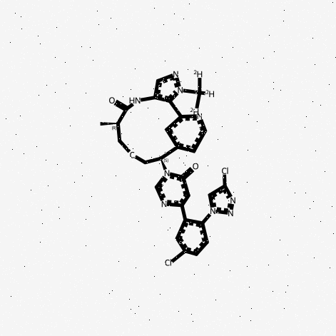 [2H]C([2H])([2H])n1ncc2c1-c1cc(ccn1)[C@@H](n1cnc(-c3cc(Cl)ccc3-n3cc(Cl)nn3)cc1=O)CCC[C@@H](C)C(=O)N2